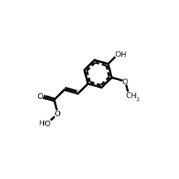 COc1cc(/C=C/C(=O)OO)ccc1O